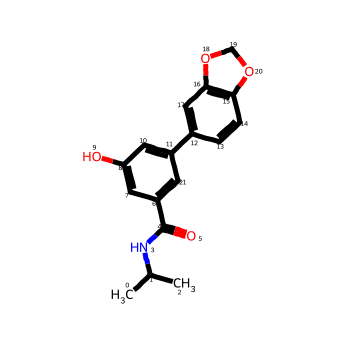 CC(C)NC(=O)c1cc(O)cc(-c2ccc3c(c2)OCO3)c1